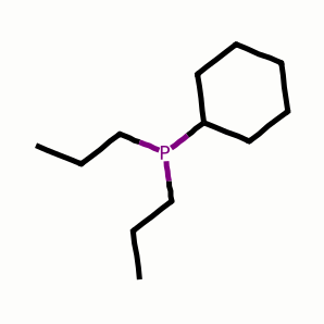 CCCP(CCC)C1CCCCC1